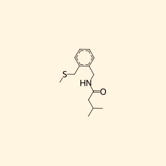 CSCc1ccccc1CNC(=O)CC(C)C